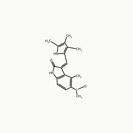 Cc1[nH]c(/C=C2\C(=O)Nc3ccc([S+](C)[O-])c(C)c32)c(C)c1C